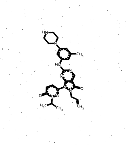 C=CCn1c(=O)c2cnc(Nc3cc(C)cc(N4CCNCC4)c3)nc2n1-c1ccc(=O)n(C(C)C)n1